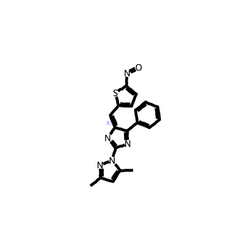 Cc1cc(C)n(C2=N/C(=C/c3ccc(N=O)s3)C(c3ccccc3)=N2)n1